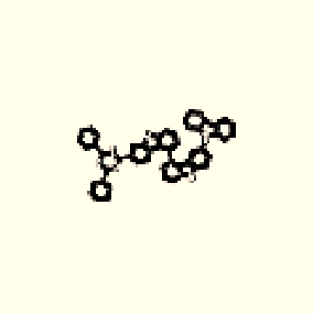 c1ccc(-c2nc(-c3ccccc3)nc(-c3ccc4c(c3)sc3cccc(-c5cccc6oc7ccc(-n8c9ccccc9c9ccccc98)cc7c56)c34)n2)cc1